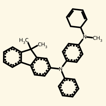 CN(c1ccc(N(c2ccccc2)c2ccc3c(c2)C(C)(C)c2ccccc2-3)cc1)C1C=CC=CC1